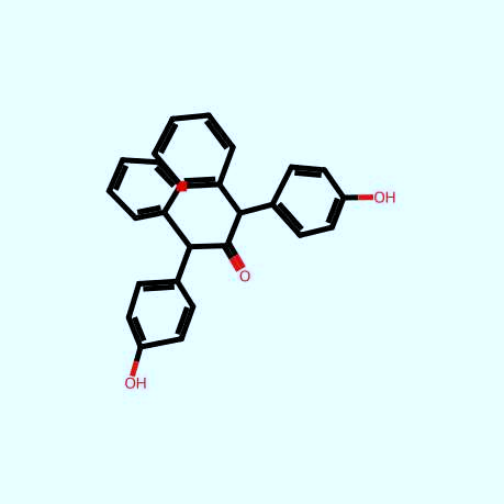 O=C(C(c1ccccc1)c1ccc(O)cc1)C(c1ccccc1)c1ccc(O)cc1